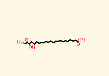 O=C(O)CCCCCCCCCCCCCCCCCCCC(O)C(O)CO